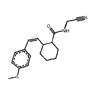 CSc1ccc(/C=C\C2CCCCC2C(=O)NCC#N)cc1